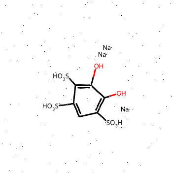 O=S(=O)(O)c1cc(S(=O)(=O)O)c(S(=O)(=O)O)c(O)c1O.[Na].[Na].[Na]